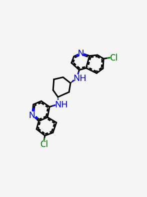 Clc1ccc2c(N[C@@H]3CCC[C@@H](Nc4ccnc5cc(Cl)ccc45)C3)ccnc2c1